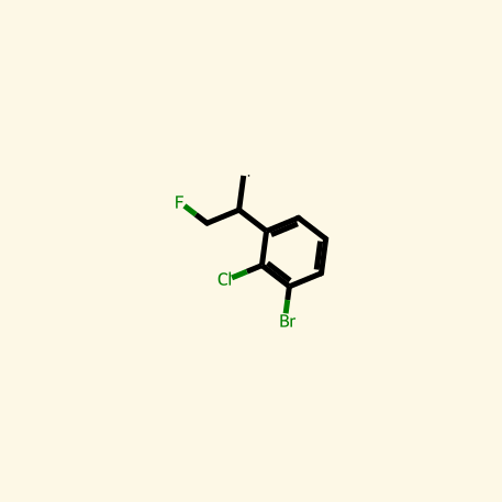 [CH2]C(CF)c1cccc(Br)c1Cl